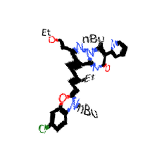 CCCCc1c(-c2ccccn2)c(=O)nc2\c(=C/C(=C/C=C3\Oc4cc(Cl)ccc4N3CCCC)CC)c(CCOCC)nn12